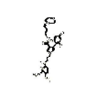 Nc1nc(NCCCn2cc(C(=O)NCCCN3CCOCC3)c(-c3ccc(Cl)cc3Cl)c2)ccc1[N+](=O)[O-]